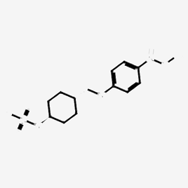 CC(C)S(=O)(=O)N[C@H]1CC[C@H](CNc2ccc(NSC(C)(C)C)cc2)CC1